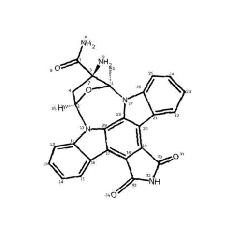 C[C@]12O[C@H](C[C@]1(N)C(N)=O)n1c3ccccc3c3c4c(c5c6ccccc6n2c5c31)C(=O)NC4=O